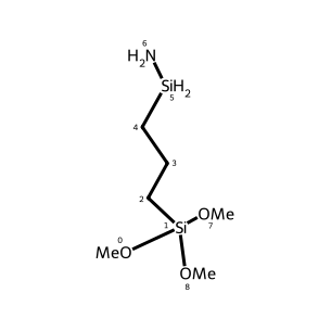 CO[Si](CCC[SiH2]N)(OC)OC